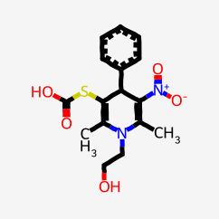 CC1=C(SC(=O)O)C(c2ccccc2)C([N+](=O)[O-])=C(C)N1CCO